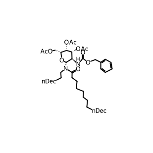 CCCCCCCCCCCCCCCCCC(=O)N(CCCCCCCCCCCC)[C@@H]1O[C@H](COC(C)=O)[C@H](OC(C)=O)[C@H](OC(C)=O)[C@H]1NC(=O)OCc1ccccc1